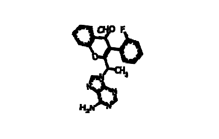 CC(C1=C(c2ccccc2F)C(C=O)c2ccccc2O1)n1cnc2c(N)ncnc21